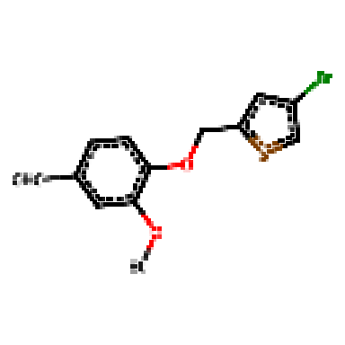 CCOc1cc(C=O)ccc1OCc1cc(Br)cs1